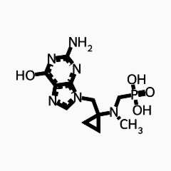 CN(CP(=O)(O)O)C1(Cn2cnc3c(O)nc(N)nc32)CC1